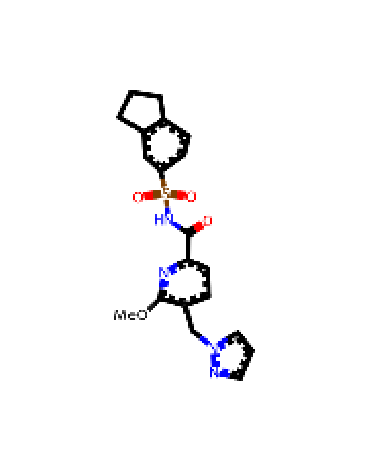 COc1nc(C(=O)NS(=O)(=O)c2ccc3c(c2)CCC3)ccc1Cn1cccn1